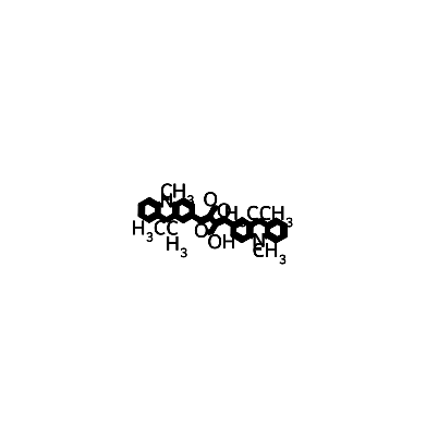 CN1c2ccccc2C(C)(C)c2cc(C3=C4C(=O)OC(c5ccc6c(c5)C(C)(C)c5ccccc5N6C)=C4C(O)O3)ccc21